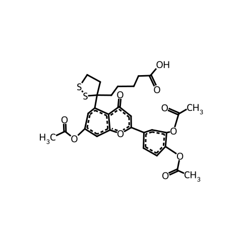 CC(=O)Oc1cc(C2(CCCCC(=O)O)CCSS2)c2c(=O)cc(-c3ccc(OC(C)=O)c(OC(C)=O)c3)oc2c1